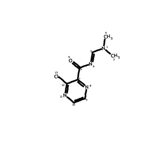 CN(C)C=NC(=O)c1nccnc1Cl